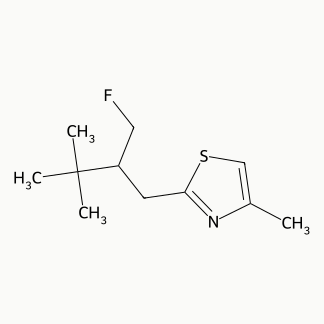 Cc1csc(CC(CF)C(C)(C)C)n1